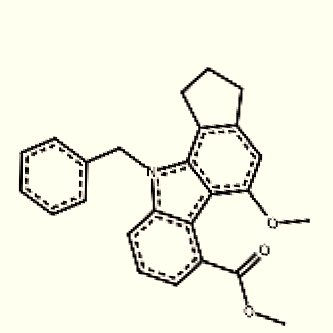 COC(=O)c1cccc2c1c1c(OC)cc3c(c1n2Cc1ccccc1)CCC3